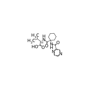 CC(C)[C@H](NC(=O)C1(NC(=O)c2cnccn2)CCCCC1)C(=O)O